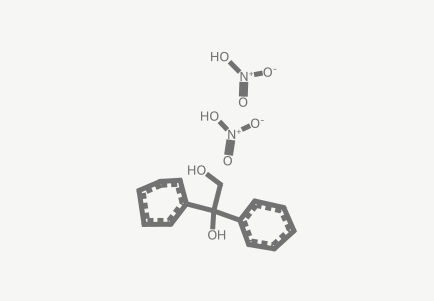 O=[N+]([O-])O.O=[N+]([O-])O.OCC(O)(c1ccccc1)c1ccccc1